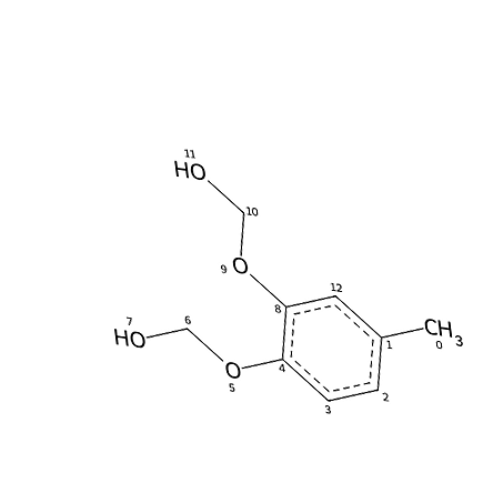 Cc1ccc(OCO)c(OCO)c1